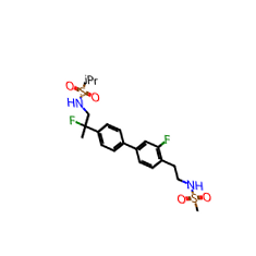 CC(C)S(=O)(=O)NCC(C)(F)c1ccc(-c2ccc(CCNS(C)(=O)=O)c(F)c2)cc1